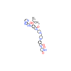 CC(C)Oc1cc2c(cc1NC(=O)c1cnn3cccnc13)CN(C1CCN(CC3CCN(c4ccc5c(c4)C(=O)N(C4CCC(=O)NC4=O)C5)CC3)CC1)C2=O